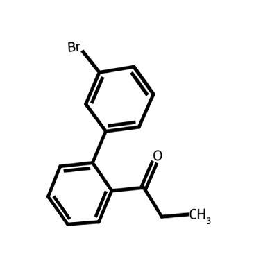 CCC(=O)c1ccccc1-c1cccc(Br)c1